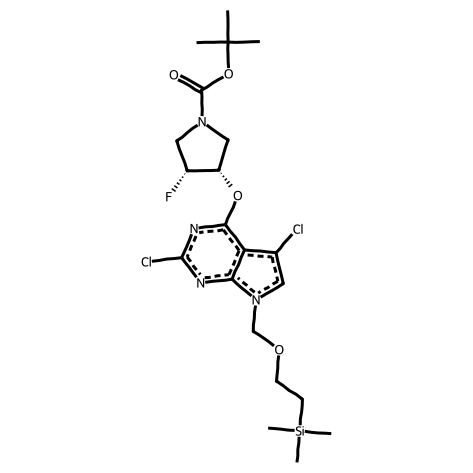 CC(C)(C)OC(=O)N1C[C@@H](F)[C@@H](Oc2nc(Cl)nc3c2c(Cl)cn3COCC[Si](C)(C)C)C1